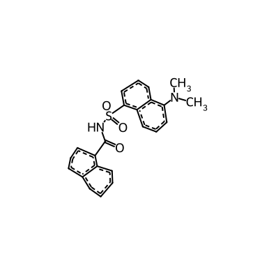 CN(C)c1cccc2c(S(=O)(=O)NC(=O)c3cccc4ccccc34)cccc12